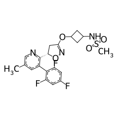 Cc1cnc([C@@H]2CC(OC3CC(NS(C)(=O)=O)C3)=NO2)c(-c2c(F)cc(F)cc2F)c1